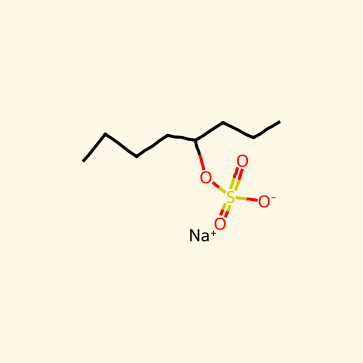 CCCCC(CCC)OS(=O)(=O)[O-].[Na+]